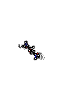 CC1(C)CC(C)(C)C2(C)c3cc(-c4ccc5c(c4)C(c4ccccc4)(c4ccccc4)c4c-5c5ccccc5c5cc(-c6ccc7c(c6)C6(C)C(C)(C)CC(C)(C)CC6(C)N7c6ccccc6)ccc45)ccc3N(c3ccccc3)C2(C)C1